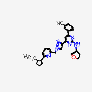 N#Cc1cccc(-c2cc(-c3cn(Cc4cccc(C5CCCC5C(=O)O)n4)nn3)nc(NC3CCOC3)n2)c1